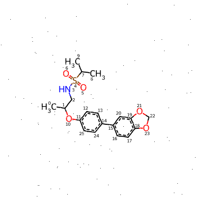 CC(CNS(=O)(=O)C(C)C)Oc1ccc(-c2ccc3c(c2)OCO3)cc1